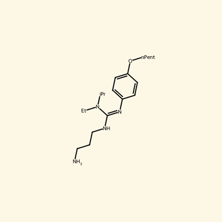 CCCCCOc1ccc(/N=C(/NCCCN)N(CC)C(C)C)cc1